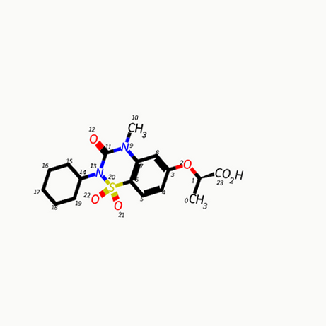 C[C@@H](Oc1ccc2c(c1)N(C)C(=O)N(C1CCCCC1)S2(=O)=O)C(=O)O